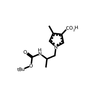 Cc1cn(CC(C)NC(=O)OC(C)(C)C)cc1C(=O)O